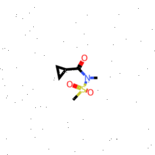 CN(C(=O)C1CC1)S(C)(=O)=O